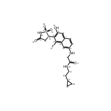 O=C(CNc1ccc2cc(O)c(N3CC(=O)NS3(=O)=O)c(F)c2c1)NCCC1CC1